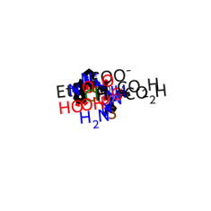 CCn1cc(C[N+]2(CC3=C(C(=O)[O-])N4C(=O)[C@@H](NC(=O)/C(=N\O[C@@H](CC(=O)O)C(=O)O)c5csc(N)n5)[C@H]4SC3)CCCC2)c(=O)c2c(Cl)c(O)c(O)cc21